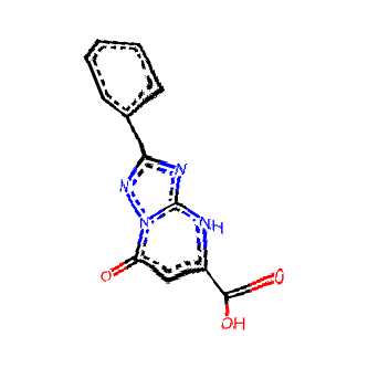 O=C(O)c1cc(=O)n2nc(-c3ccccc3)nc2[nH]1